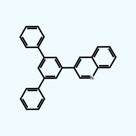 c1ccc(-c2cc(-c3ccccc3)cc(-c3cnc4ccccc4c3)c2)cc1